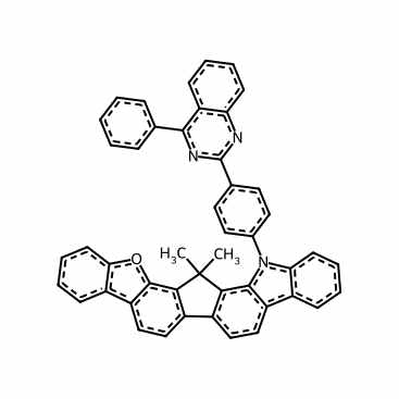 CC1(C)c2c(ccc3c2oc2ccccc23)-c2ccc3c4ccccc4n(-c4ccc(-c5nc(-c6ccccc6)c6ccccc6n5)cc4)c3c21